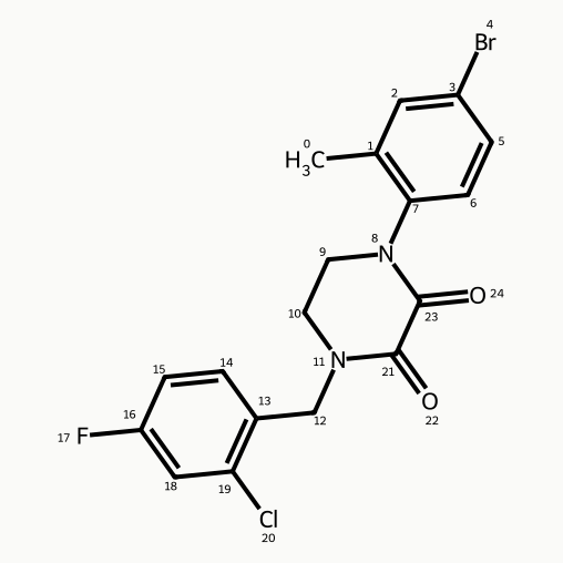 Cc1cc(Br)ccc1N1CCN(Cc2ccc(F)cc2Cl)C(=O)C1=O